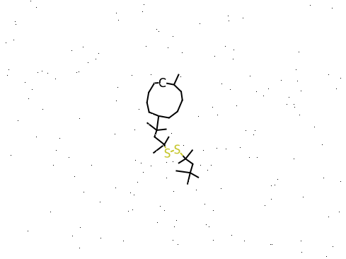 CC1CCCCCC(C(C)(C)CC(C)(C)SSC(C)(C)CC(C)(C)C)CCCC1